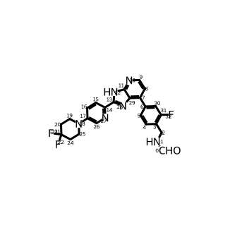 O=CNCc1ccc(-c2ccnc3[nH]c(-c4ccc(N5CCC(F)(F)CC5)cn4)nc23)cc1F